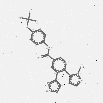 Cn1nccc1-c1ncc(C(=O)Nc2ccc(OC(F)(F)Cl)cc2)cc1-c1ccn[nH]1